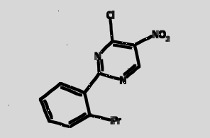 CC(C)c1ccccc1-c1ncc([N+](=O)[O-])c(Cl)n1